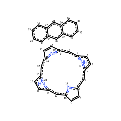 C1=Cc2cc3ccc(cc4nc(cc5ccc(cc1n2)[nH]5)C=C4)[nH]3.c1ccc2cc3ccccc3cc2c1